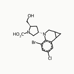 O=C(O)N1C[C@@H](N2CC3CC3c3cc(Cl)cc(Br)c32)C[C@@H]1CO